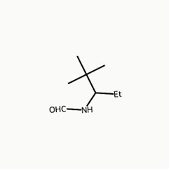 CCC(NC=O)C(C)(C)C